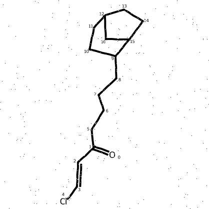 O=C(C=CCl)CCCCC1CCC2CCC1C2